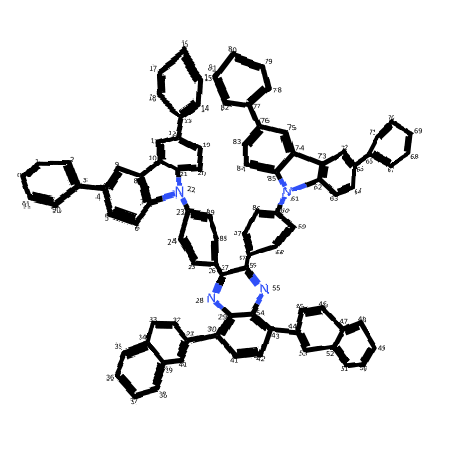 c1ccc(-c2ccc3c(c2)c2cc(-c4ccccc4)ccc2n3-c2ccc(-c3nc4c(-c5ccc6ccccc6c5)ccc(-c5ccc6ccccc6c5)c4nc3-c3ccc(-n4c5ccc(-c6ccccc6)cc5c5cc(-c6ccccc6)ccc54)cc3)cc2)cc1